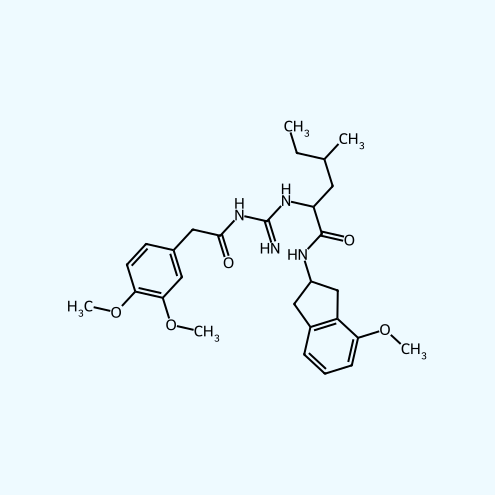 CCC(C)CC(NC(=N)NC(=O)Cc1ccc(OC)c(OC)c1)C(=O)NC1Cc2cccc(OC)c2C1